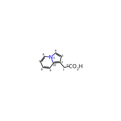 O=C(O)Cc1ccn2ccccc12